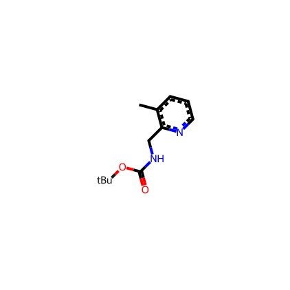 Cc1cccnc1CNC(=O)OC(C)(C)C